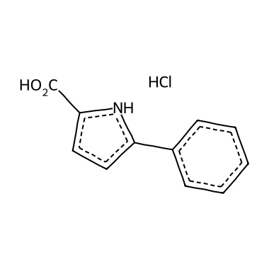 Cl.O=C(O)c1ccc(-c2ccccc2)[nH]1